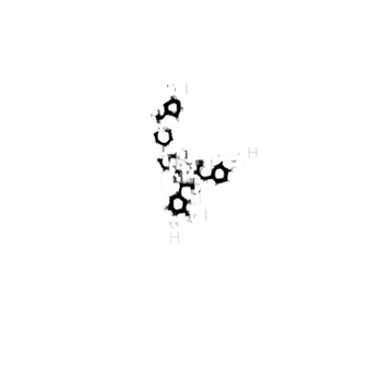 O=C(O)c1c(F)ccc2c1OB(O)[C@@H](NC(=O)[C@H](NC(=O)N1CCN(C3CCN(C(=O)c4cccc(O)c4)CC3)C1=O)c1cc(F)c(O)c(O)c1Cl)C2